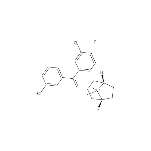 C[N+]1(C)[C@@H]2CC[C@H]1C[C@@H](C=C(c1cccc(Cl)c1)c1cccc(Cl)c1)C2.[I-]